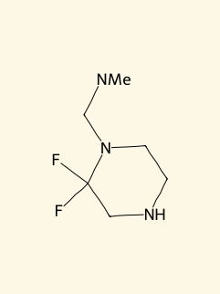 CNCN1CCNCC1(F)F